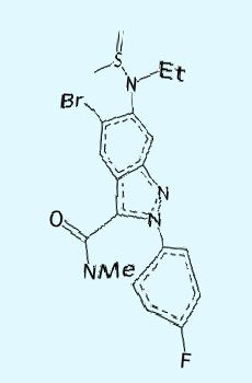 C=S(C)N(CC)c1cc2nn(-c3ccc(F)cc3)c(C(=O)NC)c2cc1Br